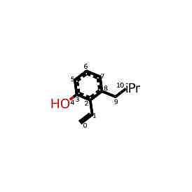 C=Cc1c(O)cccc1CC(C)C